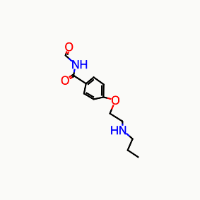 CCCNCCOc1ccc(C(=O)NC=O)cc1